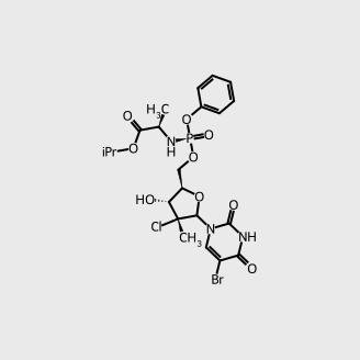 CC(C)OC(=O)[C@@H](C)N[P@@](=O)(OC[C@H]1OC(n2cc(Br)c(=O)[nH]c2=O)[C@](C)(Cl)[C@@H]1O)Oc1ccccc1